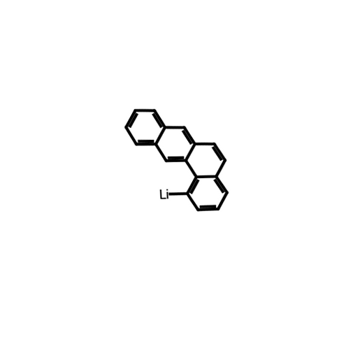 [Li][c]1cccc2ccc3cc4ccccc4cc3c12